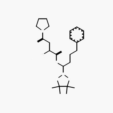 CC1(C)OB(C(CCCc2ccccc2)NC(=O)C(N)CC(=O)N2CCCC2)OC1(C)C.Cl